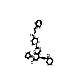 O=c1cc(C#CC2(O)CCCCC2)c2cnc(N3CCC(NCCc4ccccc4)CC3)nc2n1C1CCCC1